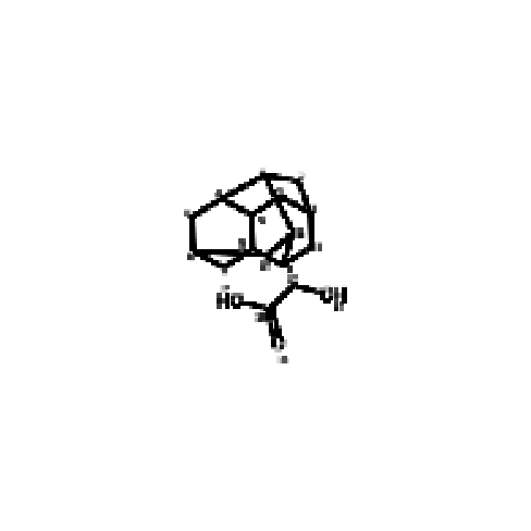 C1C2CC3C4CC5CC(C14)C(C2)C3C5.O=C(O)CO